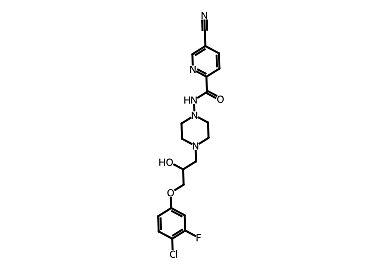 N#Cc1ccc(C(=O)NN2CCN(CC(O)COc3ccc(Cl)c(F)c3)CC2)nc1